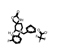 CC1CC2(CC[N+]1(Cc1ccccc1)c1cccc(F)c1)COC(=O)N2.O=C([O-])C(F)(F)F